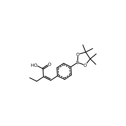 CCC(=Cc1ccc(B2OC(C)(C)C(C)(C)O2)cc1)C(=O)O